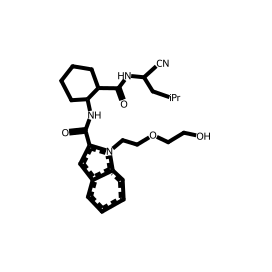 CC(C)CC(C#N)NC(=O)C1CCCCC1NC(=O)c1cc2ccccc2n1CCOCCO